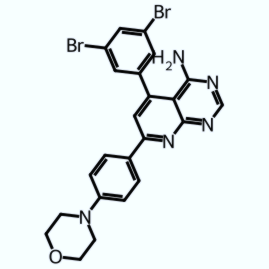 Nc1ncnc2nc(-c3ccc(N4CCOCC4)cc3)cc(-c3cc(Br)cc(Br)c3)c12